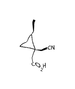 C[C@@H]1C[C@@]1(C#N)C(=O)O